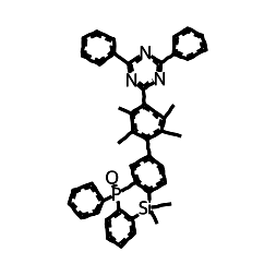 Cc1c(C)c(-c2nc(-c3ccccc3)nc(-c3ccccc3)n2)c(C)c(C)c1-c1ccc2c(c1)P(=O)(c1ccccc1)c1ccccc1[Si]2(C)C